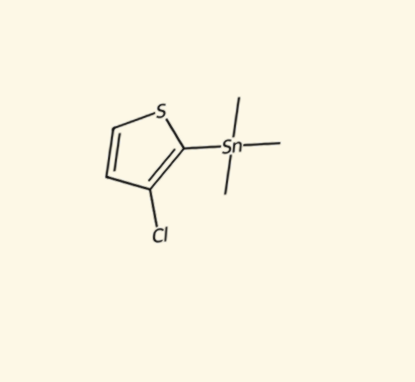 [CH3][Sn]([CH3])([CH3])[c]1sccc1Cl